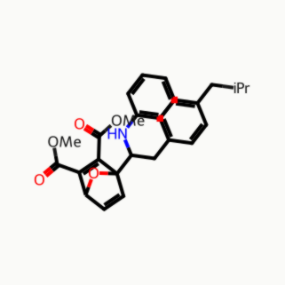 COC(=O)C1=C(C(=O)OC)C2(C(Cc3ccc(CC(C)C)cc3)Nc3ccccc3)C=CC1O2